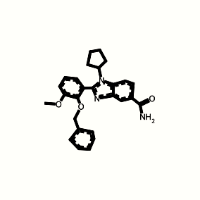 COc1cccc(-c2nc3cc(C(N)=O)ccc3n2C2CCCC2)c1OCc1ccccc1